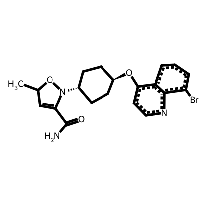 CC1C=C(C(N)=O)N([C@H]2CC[C@H](Oc3ccnc4c(Br)cccc34)CC2)O1